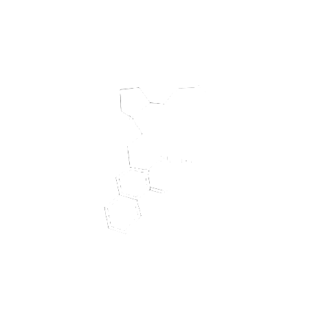 COCC1CCCN1CCc1cc2ccccc2c(=O)n1C.Cl